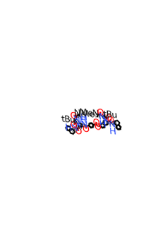 CN[C@@H](C)C(=O)N[C@H](C(=O)N1Cc2cc(OC(=O)c3ccc(C(=O)N[C@H]4C[C@@H](C(=O)N[C@@H]5CCCc6ccccc65)N(C(=O)[C@@H](NC(=O)[C@H](C)NC)C(C)(C)C)C4)cc3)ccc2C[C@H]1C(=O)N[C@@H]1CCCc2ccccc21)C(C)(C)C